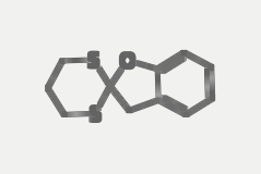 c1ccc2c(c1)CC1(O2)SCCCS1